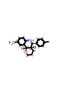 Cc1ccc([C@@H]2Nc3ccc(C(F)(F)F)cc3[C@H]3OCCC[C@H]32)cc1